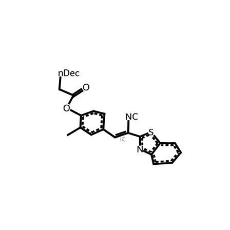 [C-]#[N+]/C(=C\c1ccc(OC(=O)CCCCCCCCCCC)c(C)c1)c1nc2ccccc2s1